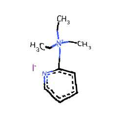 C[N+](C)(C)c1ccccn1.[I-]